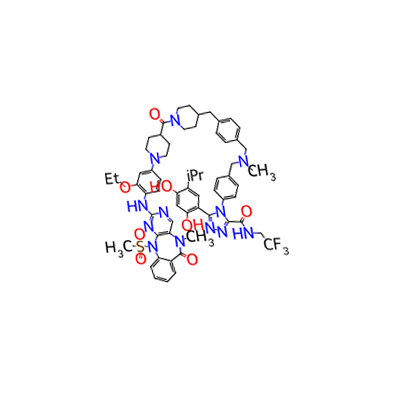 CCOc1cc(N2CCC(C(=O)N3CCC(Cc4ccc(CN(C)Cc5ccc(-n6c(C(=O)NCC(F)(F)F)nnc6-c6cc(C(C)C)c(O)cc6O)cc5)cc4)CC3)CC2)ccc1Nc1ncc2c(n1)N(S(C)(=O)=O)c1ccccc1C(=O)N2C